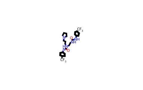 O=C(NCCN(CCCN1CCCC1)C(=O)Nc1ccc(C(F)(F)F)cc1)Nc1ccc(C(F)(F)F)cc1